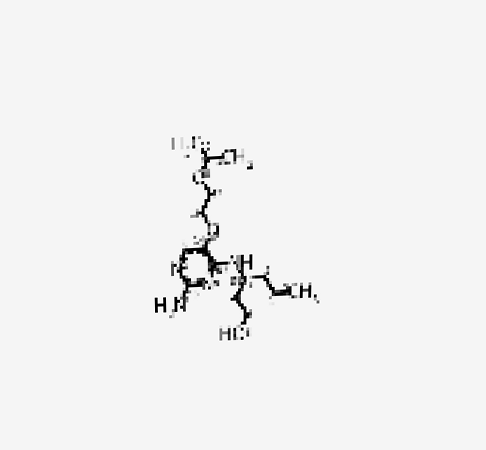 CCC[C@@H](CCO)Nc1nc(N)ncc1OCCOC(C)C